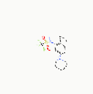 Cc1ccc(N2CCCCC2)cc1NS(=O)(=O)C(F)(F)F